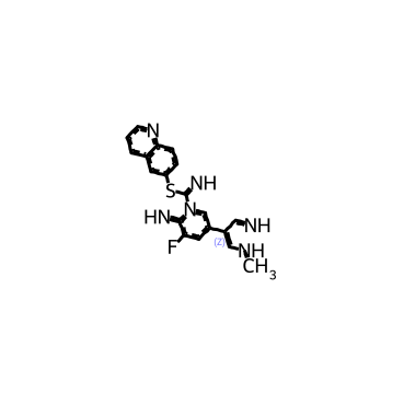 CN/C=C(\C=N)c1cc(F)c(=N)n(C(=N)Sc2ccc3ncccc3c2)c1